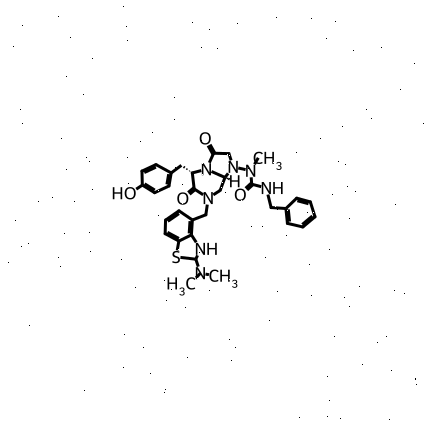 CN(C)C1Nc2c(CN3C[C@H]4N(C(=O)CN4N(C)C(=O)NCc4ccccc4)[C@@H](Cc4ccc(O)cc4)C3=O)cccc2S1